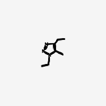 CCc1nnn(CC)c1C